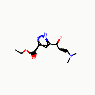 CCOC(=O)c1cc(C(=O)C=CN(C)C)[nH]n1